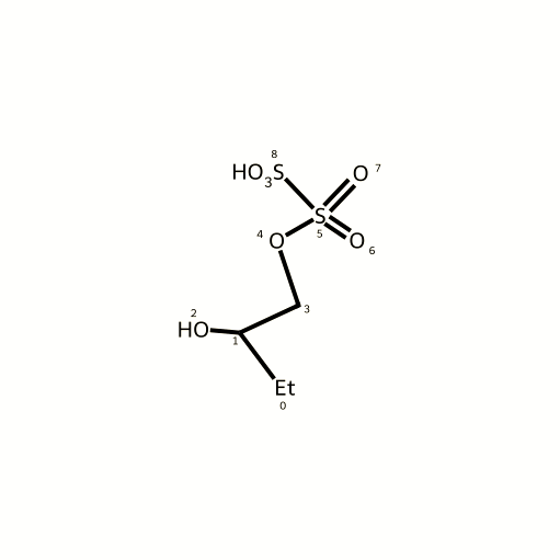 CCC(O)COS(=O)(=O)S(=O)(=O)O